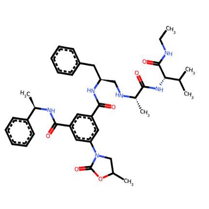 CCNC(=O)[C@@H](NC(=O)[C@H](C)NC[C@H](Cc1ccccc1)NC(=O)c1cc(C(=O)N[C@H](C)c2ccccc2)cc(N2CC(C)OC2=O)c1)C(C)C